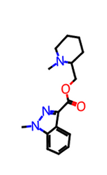 CN1CCCCC1COC(=O)c1nn(C)c2ccccc12